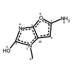 Cn1c(O)nc2oc(N)cc21